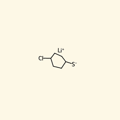 [Li+].[S-]C1CCC(Cl)CC1